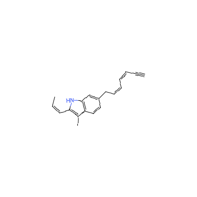 C#C/C=C\C=C/Cc1ccc2c(C)c(/C=C\C)[nH]c2c1